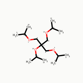 CC(C)OCC(COC(C)C)(COC(C)C)OC(C)C